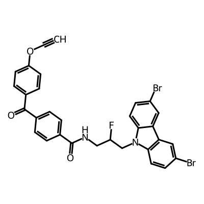 C#COc1ccc(C(=O)c2ccc(C(=O)NCC(F)Cn3c4ccc(Br)cc4c4cc(Br)ccc43)cc2)cc1